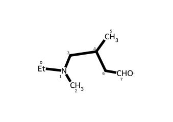 CCN(C)CC(C)C[C]=O